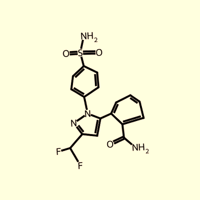 NC(=O)c1ccccc1-c1cc(C(F)F)nn1-c1ccc(S(N)(=O)=O)cc1